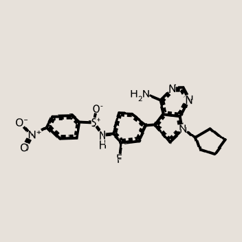 Nc1ncnc2c1c(-c1ccc(N[S+]([O-])c3ccc([N+](=O)[O-])cc3)c(F)c1)cn2C1CCCC1